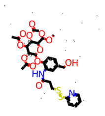 COC(=O)C1OC(Oc2ccc(CO)cc2NC(=O)CCSSc2ccccn2)[C@H](OC(C)=O)C(OC(C)=O)[C@@H]1OC(C)=O